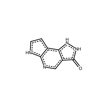 O=c1[nH][nH]c2c1cnc1[nH]ccc12